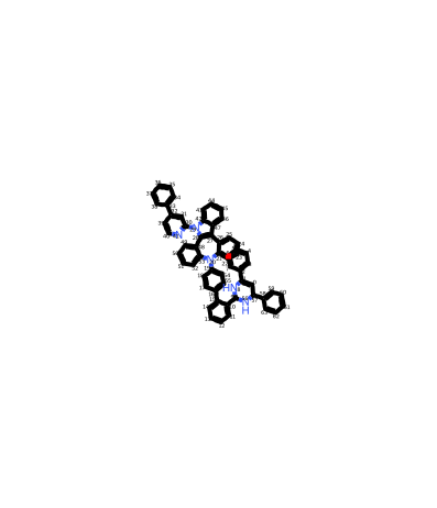 C1=C(c2ccccc2)NC(c2ccccc2-c2ccc(N3c4ccccc4-c4c(n(-c5cc(-c6ccccc6)ccn5)c5ccccc45)-c4ccccc43)cc2)NC1c1ccccc1